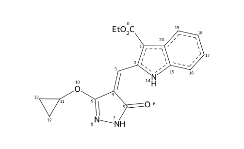 CCOC(=O)c1c(C=C2C(=O)NN=C2OC2CC2)[nH]c2ccccc12